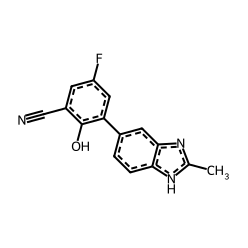 Cc1nc2cc(-c3cc(F)cc(C#N)c3O)ccc2[nH]1